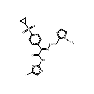 Cn1ccnc1CO/N=C(/C(=O)Nc1ncc(F)s1)c1ccc(S(=O)(=O)C2CC2)cc1